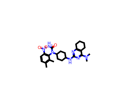 Cc1ccc([N+](=O)[O-])c(N(C(N)=O)C2CCC(Nc3nc4c(c(N(C)C)n3)CCCC4)CC2)c1C